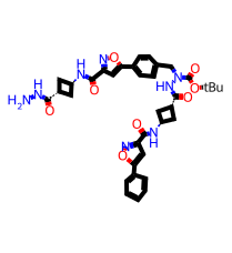 CC(C)(C)OC(=O)N(Cc1ccc(-c2cc(C(=O)N[C@H]3C[C@@H](C(=O)NN)C3)no2)cc1)NC(=O)[C@H]1C[C@@H](NC(=O)c2cc(-c3ccccc3)on2)C1